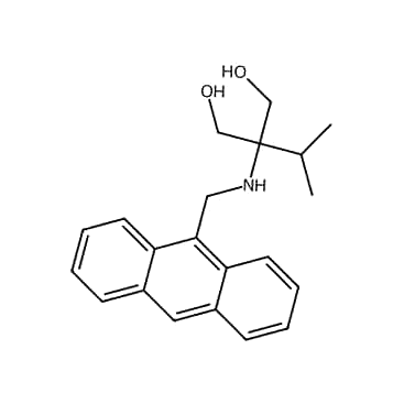 CC(C)C(CO)(CO)NCc1c2ccccc2cc2ccccc12